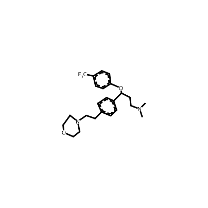 CN(C)CCC(Oc1ccc(C(F)(F)F)cc1)c1ccc(CCN2CCOCC2)cc1